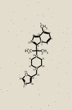 Cc1cccn2c(C(C)(C)N3CCN(Cc4cnco4)CC3)ncc12